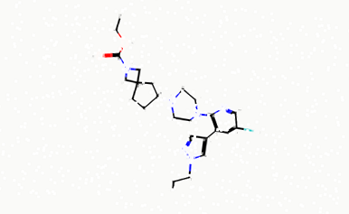 CCCn1cc(-c2cc(F)cnc2N2CCN([C@@H]3CCC4(C3)CN(C(=O)OCC)C4)CC2)cn1